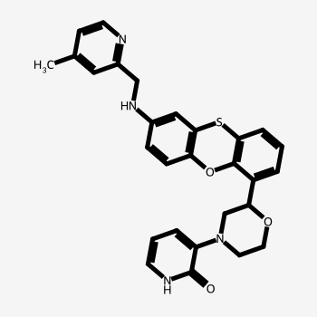 Cc1ccnc(CNc2ccc3c(c2)Sc2cccc(C4CN(c5ccc[nH]c5=O)CCO4)c2O3)c1